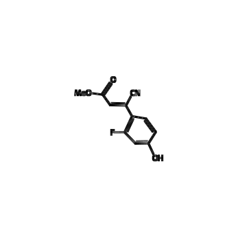 COC(=O)C=C(C#N)c1ccc(O)cc1F